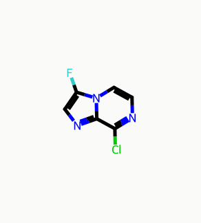 Fc1cnc2c(Cl)nccn12